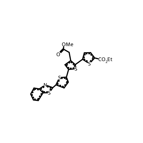 CCOC(=O)c1ccc(-c2sc(-c3ccc(-c4nc5ccccc5s4)s3)cc2CC(=O)OC)s1